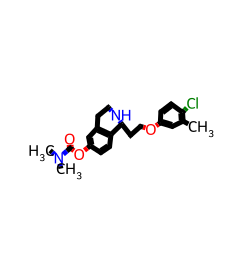 Cc1cc(OCCC2NCCc3cc(OC(=O)N(C)C)ccc32)ccc1Cl